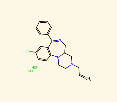 C=CCN1CCN2c3ccc(Cl)cc3C(c3ccccc3)=NCC2C1.Cl.Cl